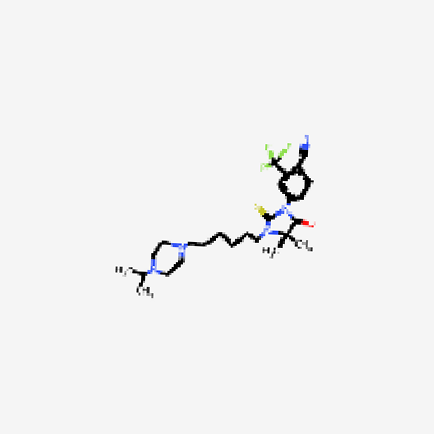 CC(C)N1CCN(CCCCCCN2C(=S)N(c3ccc(C#N)c(C(F)(F)F)c3)C(=O)C2(C)C)CC1